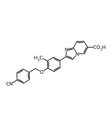 [C-]#[N+]c1ccc(COc2ccc(-c3cn4cc(C(=O)O)ccc4n3)cc2C)cc1